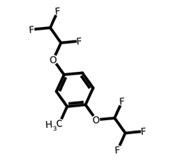 Cc1cc(OC(F)C(F)F)ccc1OC(F)C(F)F